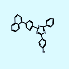 Brc1ccc(-c2nc(-c3ccccc3)nc(-c3ccc(-c4cccc5ccccc45)cc3)n2)cc1